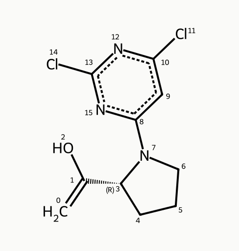 C=C(O)[C@H]1CCCN1c1cc(Cl)nc(Cl)n1